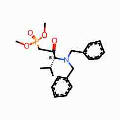 COP(=O)(CC(=O)[C@@H](C(C)C)N(Cc1ccccc1)Cc1ccccc1)OC